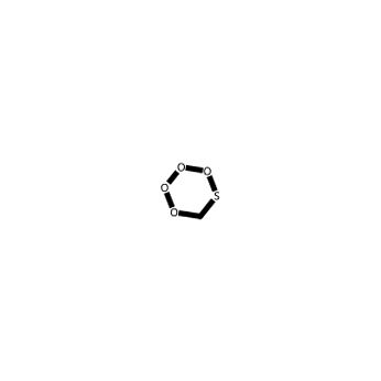 C1OOOOS1